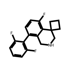 Fc1cccc(F)c1-c1ccc(F)c2c1CNCC21CCC1